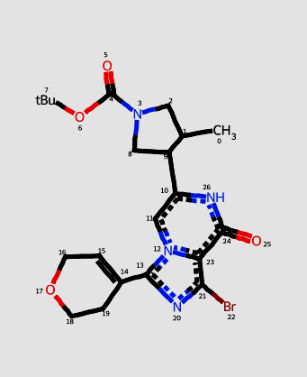 CC1CN(C(=O)OC(C)(C)C)CC1c1cn2c(C3=CCOCC3)nc(Br)c2c(=O)[nH]1